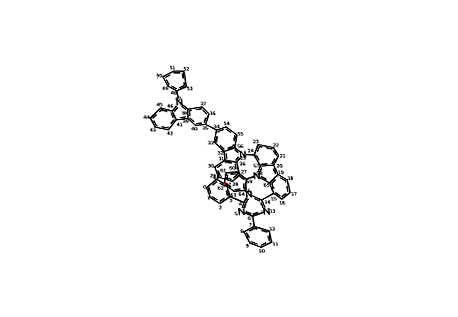 c1ccc(-c2nc(-c3ccccc3)nc(-c3cccc4c5cccc(-n6c7ccccc7c7cc(-c8ccc9c(c8)c8ccccc8n9-c8ccccc8)ccc76)c5n(-c5ccccc5)c34)n2)cc1